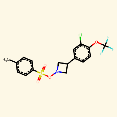 Cc1ccc(S(=O)(=O)ON2CC(c3ccc(OC(F)(F)F)c(Cl)c3)C2)cc1